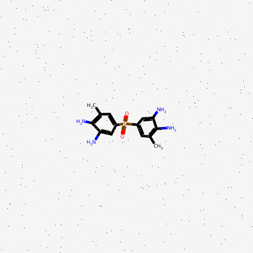 Cc1cc(S(=O)(=O)c2cc(C)c(N)c(N)c2)cc(N)c1N